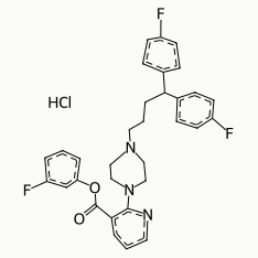 Cl.O=C(Oc1cccc(F)c1)c1cccnc1N1CCN(CCCC(c2ccc(F)cc2)c2ccc(F)cc2)CC1